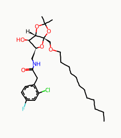 CCCCCCCCCCCCOC[C@@]12O[C@@H](CNC(=O)Cc3ccc(F)cc3Cl)[C@@H](O)[C@@H]1OC(C)(C)O2